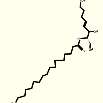 CCCCCCCCCCCCC/C=C/[C@@H](O)[C@H](CO)NC(=O)CCCCCCCCCCCCCCCCCCCCCCCCC